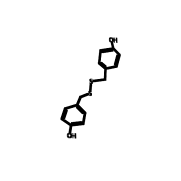 Oc1ccc(CSSCc2ccc(O)cc2)cc1